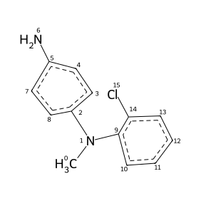 CN(c1ccc(N)cc1)c1ccccc1Cl